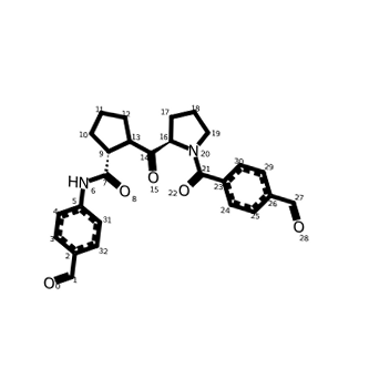 O=Cc1ccc(NC(=O)[C@@H]2CCCC2C(=O)[C@H]2CCCN2C(=O)c2ccc(C=O)cc2)cc1